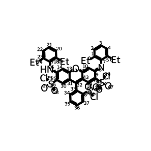 CCc1cccc(CC)c1/N=c1\cc2oc3cc(Nc4c(CC)cccc4CC)c(S(=O)(=O)Cl)cc3c(-c3ccccc3S(=O)(=O)Cl)c-2cc1S(=O)(=O)Cl